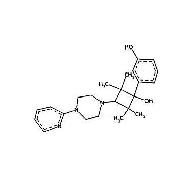 CC1(C)C(N2CCN(c3ccccn3)CC2)C(C)(C)C1(O)c1cccc(O)c1